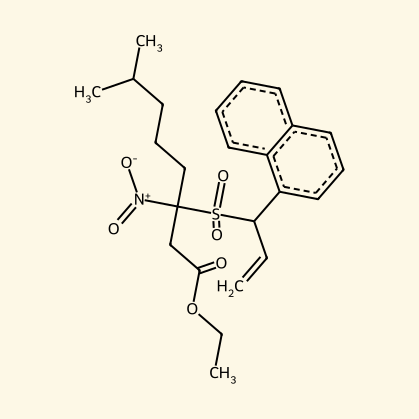 C=CC(c1cccc2ccccc12)S(=O)(=O)C(CCCC(C)C)(CC(=O)OCC)[N+](=O)[O-]